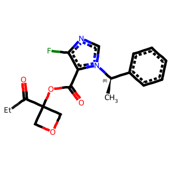 CCC(=O)C1(OC(=O)c2c(F)ncn2[C@H](C)c2ccccc2)COC1